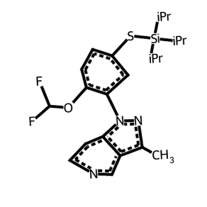 Cc1nn(-c2cc(S[Si](C(C)C)(C(C)C)C(C)C)ccc2OC(F)F)c2ccncc12